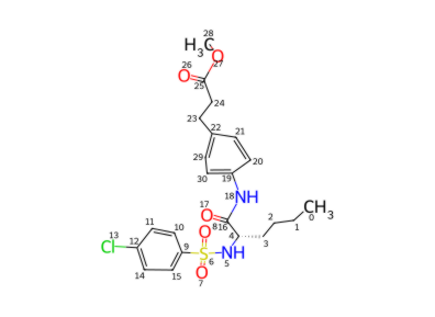 CCCC[C@H](NS(=O)(=O)c1ccc(Cl)cc1)C(=O)Nc1ccc(CCC(=O)OC)cc1